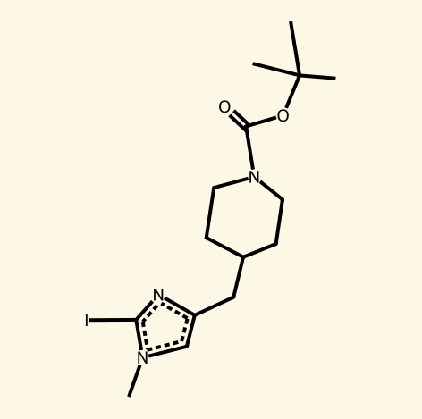 Cn1cc(CC2CCN(C(=O)OC(C)(C)C)CC2)nc1I